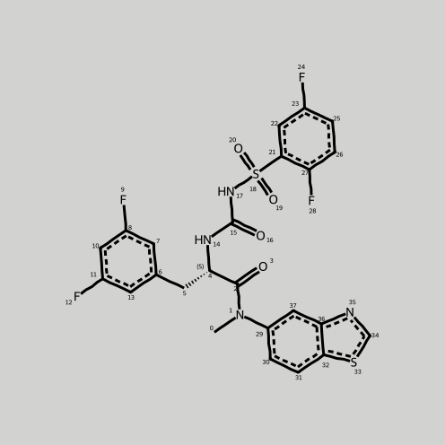 CN(C(=O)[C@H](Cc1cc(F)cc(F)c1)NC(=O)NS(=O)(=O)c1cc(F)ccc1F)c1ccc2scnc2c1